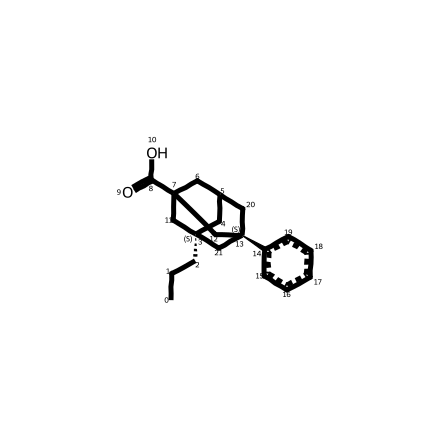 CCC[C@@]12CC3CC(C(=O)O)(C1)C[C@](c1ccccc1)(C3)C2